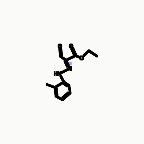 CCOC(=O)/C(C=O)=N/Nc1ccccc1C